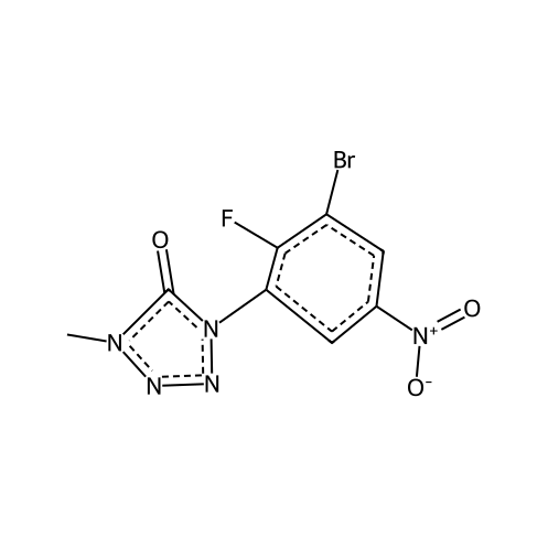 Cn1nnn(-c2cc([N+](=O)[O-])cc(Br)c2F)c1=O